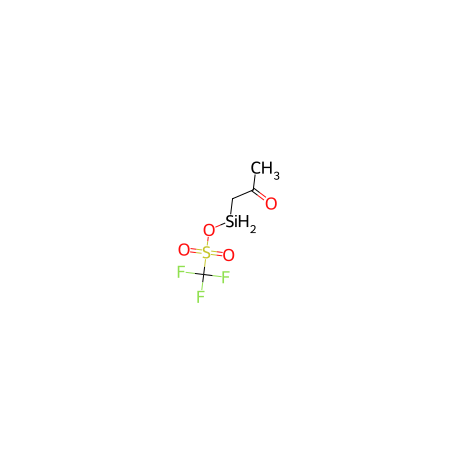 CC(=O)C[SiH2]OS(=O)(=O)C(F)(F)F